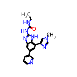 CCNC(=O)Nc1nc2cc(-c3cccnc3)cc(-c3cn(C)cn3)c2[nH]1